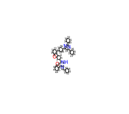 N=C(c1ccc2c(c1)oc1cccc(-c3ccc(-c4cc(-c5ccccc5)nc(-c5ccccc5)n4)cc3)c12)C1Oc2ccccc2C1/N=C/c1ccccc1